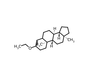 CCOC1=CC2CC[C@H]3[C@@H]4CCC[C@@]4(C)CC[C@@H]3[C@@]2(C)CC1